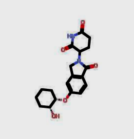 O=C1CCC(N2Cc3cc(O[C@H]4CCCC[C@H]4O)ccc3C2=O)C(=O)N1